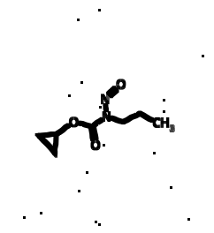 CCCN(N=O)C(=O)OC1CC1